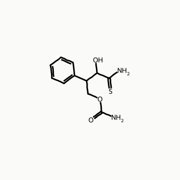 NC(=O)OCC(c1ccccc1)C(O)C(N)=S